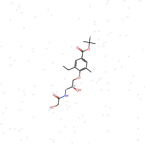 CCc1cc(C(=O)OC(C)(C)C)cc(C)c1OC[C@@H](O)CNC(=O)CO